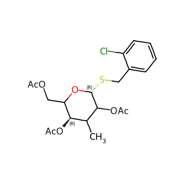 CC(=O)OCC1O[C@H](SCc2ccccc2Cl)C(OC(C)=O)C(C)[C@H]1OC(C)=O